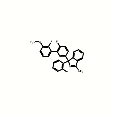 COc1cccc(-c2cc(C3(c4ccncc4F)N=C(N)c4ccccc43)ccc2F)c1F